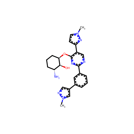 Cn1cc(-c2cccc(-c3ncc(-c4ccn(C)n4)c(O[C@@H]4CCC[C@@H](N)[C@@H]4O)n3)c2)cn1